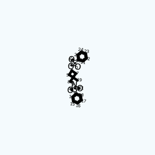 O=S(=O)(OC1CC2(C1)CN(S(=O)(=O)c1ccccc1)C2)c1ccccc1